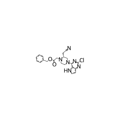 N#CC[C@H]1CN(c2nc(Cl)nc3cc[nH]c23)CCN1CC(=O)OCc1ccccc1